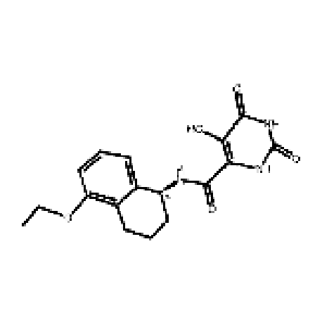 CCOc1cccc2c1CCC[C@@H]2NC(=O)c1[nH]c(=O)[nH]c(=O)c1O